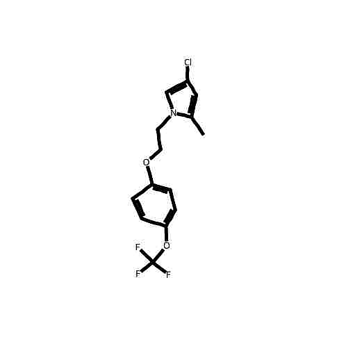 Cc1cc(Cl)cn1CCOc1ccc(OC(F)(F)F)cc1